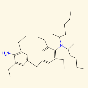 CCCCC(C)N(c1c(CC)cc(Cc2cc(CC)c(N)c(CC)c2)cc1CC)C(C)CCCC